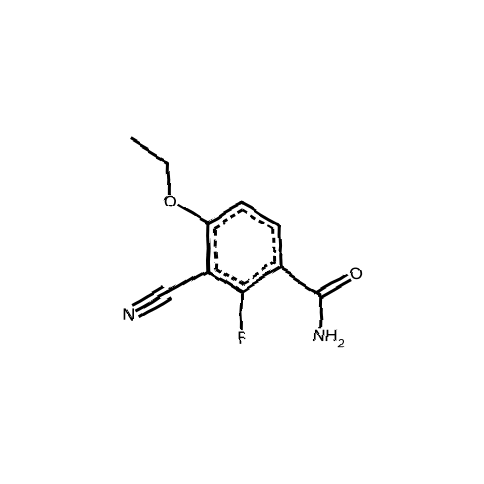 CCOc1ccc(C(N)=O)c(F)c1C#N